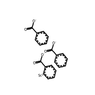 O=C([O-])c1ccccc1.O=C([O-])c1ccccc1.O=C([O-])c1ccccc1.[Sc+3]